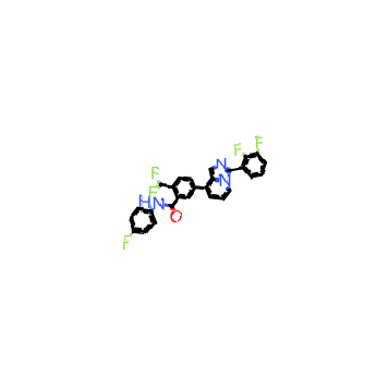 O=C(Nc1ccc(F)cc1)c1cc(-c2cccn3c(-c4cccc(F)c4F)ncc23)ccc1C(F)F